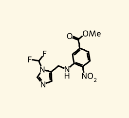 COC(=O)c1ccc([N+](=O)[O-])c(NCc2cncn2C(F)F)c1